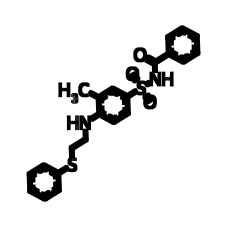 Cc1cc(S(=O)(=O)NC(=O)c2ccccc2)ccc1NCCSc1ccccc1